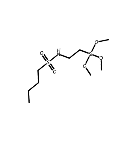 CCCCS(=O)(=O)NCC[Si](OC)(OC)OC